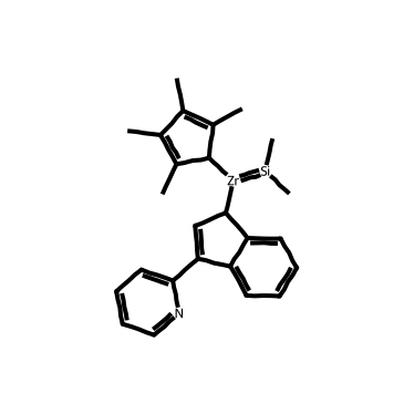 CC1=C(C)[CH]([Zr]([CH]2C=C(c3ccccn3)c3ccccc32)=[Si](C)C)C(C)=C1C